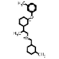 Cc1cccc(O[C@@H]2CCCC(C(C)CNCC3CCCC(C)C3)C2)c1